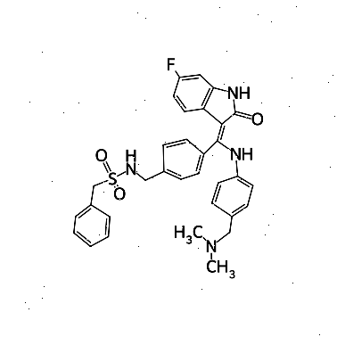 CN(C)Cc1ccc(N/C(=C2\C(=O)Nc3cc(F)ccc32)c2ccc(CNS(=O)(=O)Cc3ccccc3)cc2)cc1